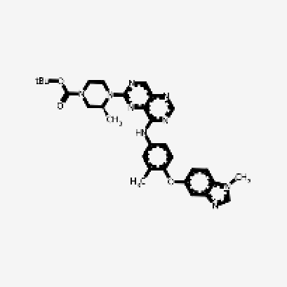 Cc1cc(Nc2ncnc3cnc(N4CCN(C(=O)OC(C)(C)C)C[C@@H]4C)nc23)ccc1Oc1ccc2c(c1)ncn2C